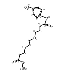 CC(C)(C)OC(=O)CCOCCOCCOC(=O)Oc1ccc([N+](=O)[O-])cc1